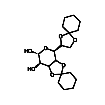 O[C@@H]1O[C@@H](C2COC3(CCCCC3)O2)C2OC3(CCCCC3)OC2[C@H]1O